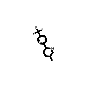 CC1CCC(c2ccc(C(F)(F)F)cn2)NC1